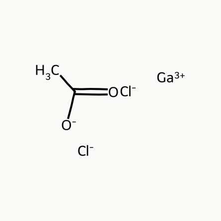 CC(=O)[O-].[Cl-].[Cl-].[Ga+3]